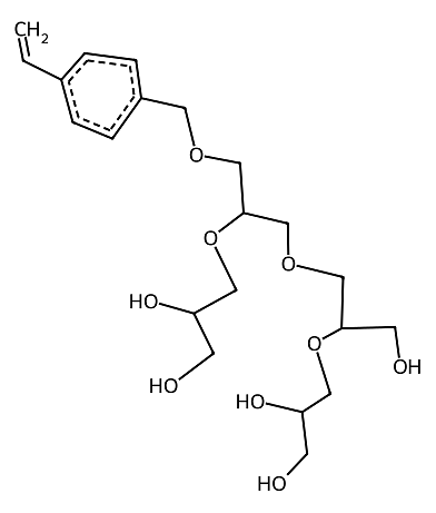 C=Cc1ccc(COCC(COCC(CO)OCC(O)CO)OCC(O)CO)cc1